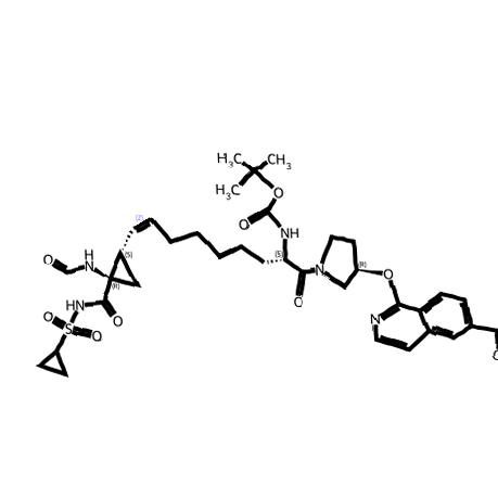 CC(C)(C)OC(=O)N[C@@H](CCCCC/C=C\[C@@H]1C[C@]1(NC=O)C(=O)NS(=O)(=O)C1CC1)C(=O)N1CC[C@@H](Oc2nccc3cc(CO)ccc23)C1